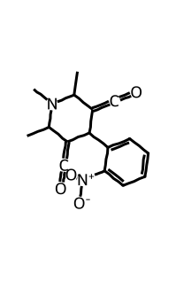 CC1C(=C=O)C(c2ccccc2[N+](=O)[O-])C(=C=O)C(C)N1C